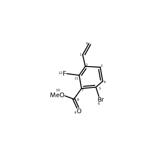 C=Cc1ccc(Br)c(C(=O)OC)c1F